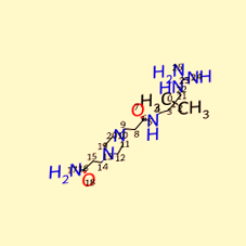 CC(C)(CCNC(=O)CCN1CCN(CCC(N)=O)CC1)CNC(=N)N